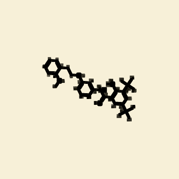 COc1ccccc1CCOc1cccc(NC(=O)c2cc(C(C)(C)C)cc(C(C)(C)C)c2O)c1